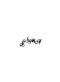 CC(C)(C)OC(=O)N1CCO[C@@H](c2ccc(NC(=O)c3cnn(-c4cccc(OC(F)F)c4)c3)c(F)c2)C1